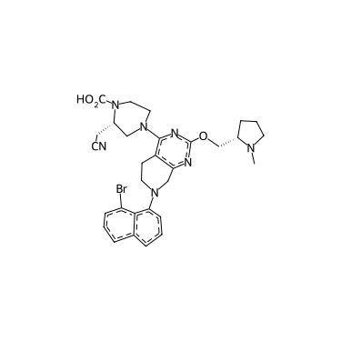 CN1CCC[C@H]1COc1nc2c(c(N3CCN(C(=O)O)[C@@H](CC#N)C3)n1)CCN(c1cccc3cccc(Br)c13)C2